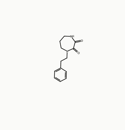 O=C1NCCCN(CCc2ccccc2)C1=O